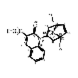 CCOC(=O)c1nc2ccccc2n(C2C[C@H]3C=C[C@H](C2)N3CC)c1=O